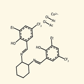 CC(=O)[O-].CC(=O)[O-].CCc1cc(C(F)(F)F)cc(C=NC2CCCCC2N=Cc2cc(C(F)(F)F)cc(CC)c2O)c1O.[Co+2]